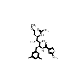 COCC[C@@H](NC(C)=O)[C@@H](O)[C@H](O)[C@H](Cc1cc(F)cc(F)c1)NC(=O)c1csc(N)n1